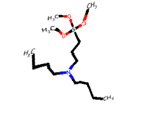 CCCCN(CCCC)CCC[Si](OC)(OC)OC